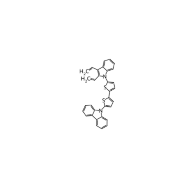 C=Cc1c(C=C)n(-c2ccc(-c3ccc(-n4c5ccccc5c5ccccc54)s3)s2)c2ccccc12